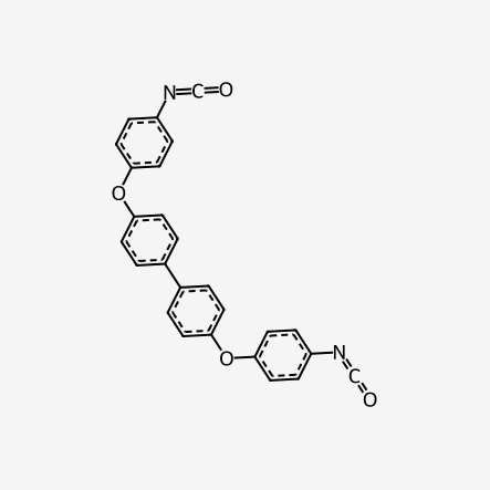 O=C=Nc1ccc(Oc2ccc(-c3ccc(Oc4ccc(N=C=O)cc4)cc3)cc2)cc1